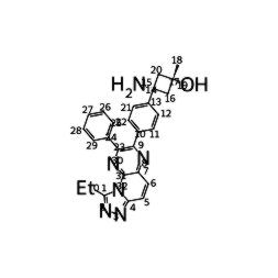 CCc1nnc2ccc3nc(-c4ccc([C@]5(N)C[C@@](C)(O)C5)cc4)c(-c4ccccc4)nc3n12